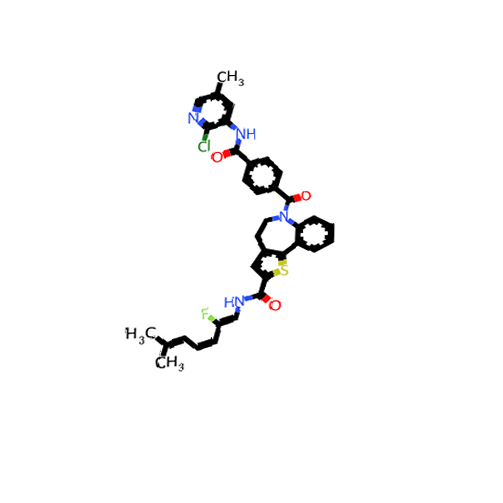 CC(C)=C/C=C\C(F)=C\NC(=O)c1cc2c(s1)-c1ccccc1N(C(=O)c1ccc(C(=O)Nc3cc(C)cnc3Cl)cc1)CC2